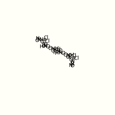 CN(C)C(=O)N1CCN([C@H]2Cc3c(Cl)cc(Cl)cc3[C@@H]2Oc2ccc(S(=O)(=O)NCCOCCOCCNC(=O)NCCCCNC(=O)NCCOCCOCCNS(=O)(=O)c3ccc(O[C@H]4c5cc(Cl)cc(Cl)c5C[C@@H]4N4CCN(C(=O)N(C)C)CC4)cc3)cc2)CC1